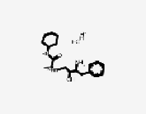 C[C@H](NCC(O)C(N)Cc1ccccc1)C(=O)NC1CCCCC1.Cl.[H+].[H+]